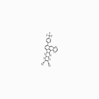 N#Cc1nc2nc3c(nc2nc1C#N)-c1c2nccnc2cc2c(-c4ccc(C(F)(F)F)cc4)ccc-3c12